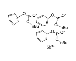 CCCCOP([O-])Oc1ccccc1.CCCCOP([O-])Oc1ccccc1.CCCCOP([O-])Oc1ccccc1.[Sb+3]